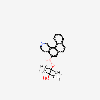 CC(C)(O)C(C)(C)OBc1cc2ccc3ccccc3c2c2cnccc12